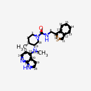 C[C@@H]1CCN(C(=O)NCc2scc3ccccc23)C[C@@H]1N(C)c1ccnc2[nH]ccc12